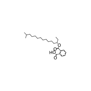 CCC(CCCCCCCCCCC(C)C)OC(=O)c1ccccc1C(=O)O